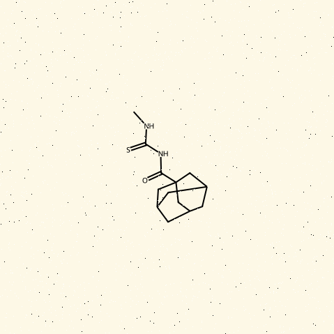 CNC(=S)NC(=O)C12CC3CC(CC(C3)C1)C2